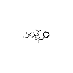 CC(C)OC(F)(OC(C)(F)CF)O[Si](F)(F)Cc1ccccc1